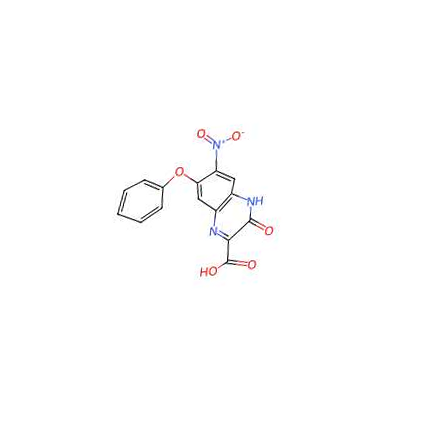 O=C(O)c1nc2cc(Oc3ccccc3)c([N+](=O)[O-])cc2[nH]c1=O